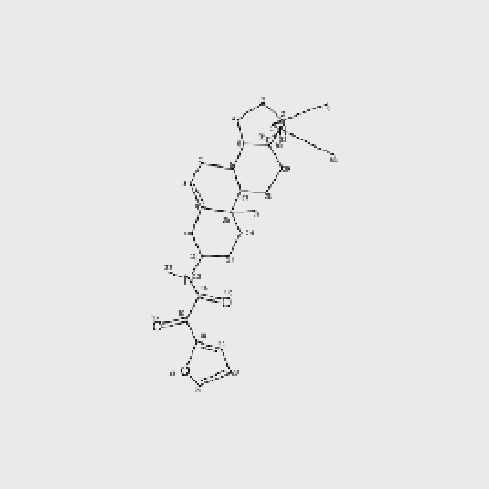 CC1C2CCC3C4CC=C5CC(N(C)C(=O)C(=O)c6ccco6)CCC5(C)C4CCC32CN1C